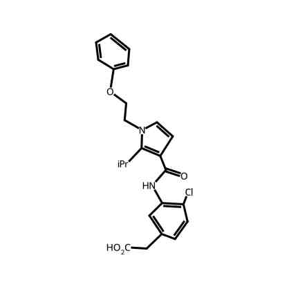 CC(C)c1c(C(=O)Nc2cc(CC(=O)O)ccc2Cl)ccn1CCOc1ccccc1